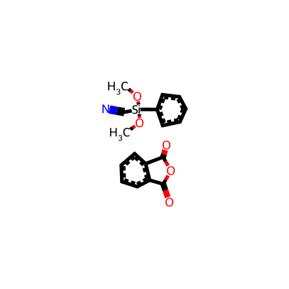 CO[Si](C#N)(OC)c1ccccc1.O=C1OC(=O)c2ccccc21